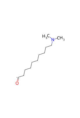 CN(C)CCCCCCCCC[C]=O